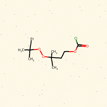 CCC(C)(C)OOC(C)(C)CCOC(=O)Cl